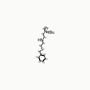 CC(C)N(CCNCCSCc1ccccc1)C(C)(C)C